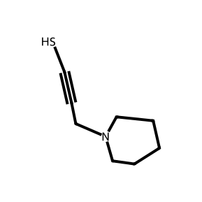 SC#CCN1CCCCC1